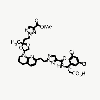 COC(=O)c1cnn(CCC2(C)OCC(N3CCCc4ccc(CCn5ncc(C(=O)N[C@@H](CC(=O)O)c6cc(Cl)cc(Cl)c6)n5)nc43)O2)n1